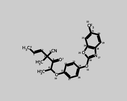 CC=CC(C)(C#N)C(=O)C(C)Oc1ccc(Oc2nc3ccc(C(F)(F)F)cc3o2)cc1